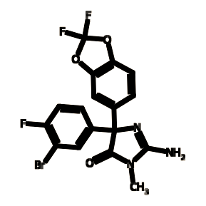 CN1C(=O)C(c2ccc(F)c(Br)c2)(c2ccc3c(c2)OC(F)(F)O3)N=C1N